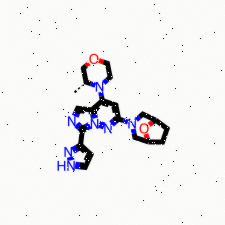 C[C@@H]1COCCN1c1cc(N2CC3CCC(C2)O3)nn2c(-c3cc[nH]n3)ncc12